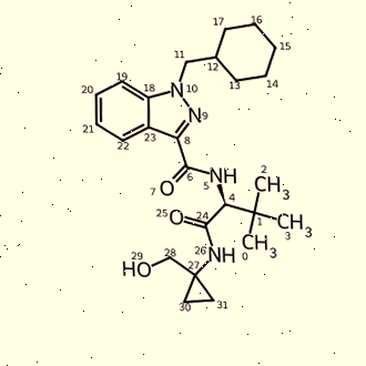 CC(C)(C)[C@H](NC(=O)c1nn(CC2CCCCC2)c2ccccc12)C(=O)NC1(CO)CC1